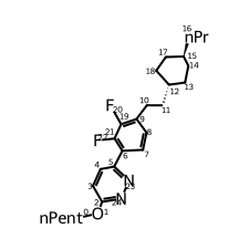 CCCCCOc1ccc(-c2ccc(CC[C@H]3CC[C@H](CCC)CC3)c(F)c2F)nn1